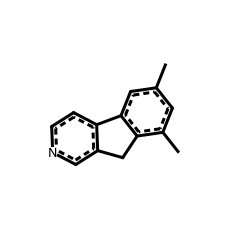 Cc1cc(C)c2c(c1)-c1ccncc1C2